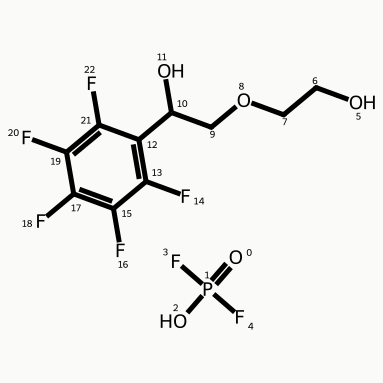 O=P(O)(F)F.OCCOCC(O)c1c(F)c(F)c(F)c(F)c1F